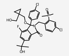 CC(C)(O)c1cc(F)c2c(c1)C(=O)N(Cc1ccc(Cl)cc1P(C)(C)=O)C2(OCC1(CO)CC1)c1ccc(Cl)cc1